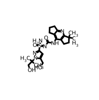 CC1(C)CCc2c1nc1c(c2NC(=O)N=S(N)(=O)c2cc(CO)n(C(C)(C)CO)n2)CCC1